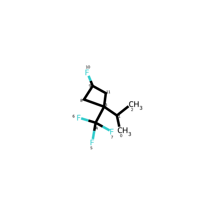 CC(C)C1(C(F)(F)F)CC(F)C1